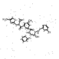 CCc1cccc(CNC[C@@H](O)[C@H](Cc2ccccc2)NC(=O)c2cc(C)cc(C(=O)N(Cc3nc(C)cs3)C3CC3)c2)c1